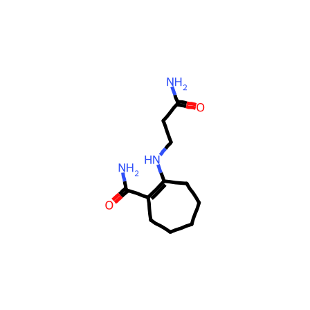 NC(=O)CCNC1=C(C(N)=O)CCCCC1